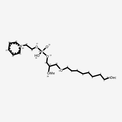 CCCCCCCCCCCCCCCCCCOCC(CO[P+]([O-])(O)OCC[n+]1ccccc1)OC